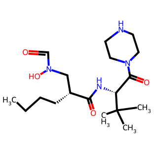 CCCC[C@H](CN(O)C=O)C(=O)N[C@H](C(=O)N1CCNCC1)C(C)(C)C